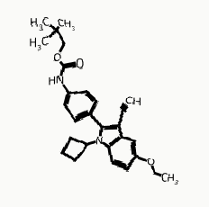 C#Cc1c(-c2ccc(NC(=O)OCC(C)(C)C)cc2)n(C2CCC2)c2ccc(OCC)cc12